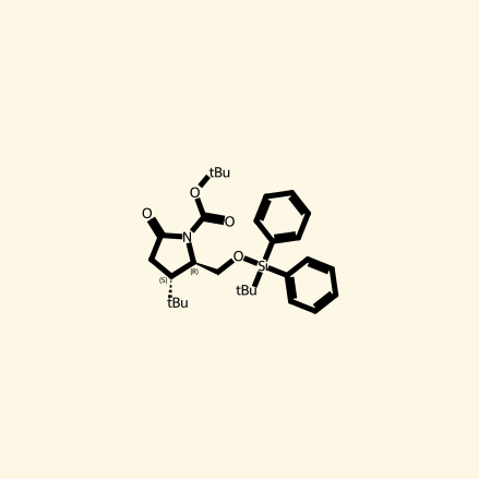 CC(C)(C)OC(=O)N1C(=O)C[C@@H](C(C)(C)C)[C@@H]1CO[Si](c1ccccc1)(c1ccccc1)C(C)(C)C